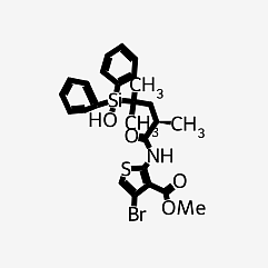 COC(=O)c1c(Br)csc1NC(=O)[C@H](C)CC(C)(C)[Si](O)(c1ccccc1)c1ccccc1